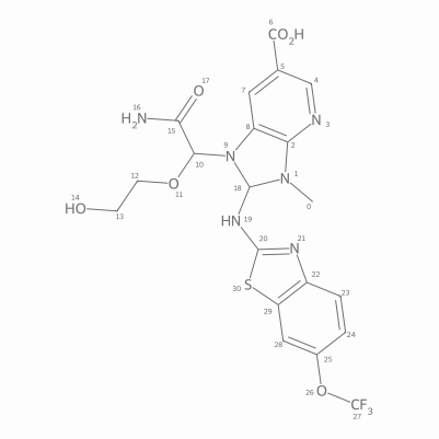 CN1c2ncc(C(=O)O)cc2N(C(OCCO)C(N)=O)C1Nc1nc2ccc(OC(F)(F)F)cc2s1